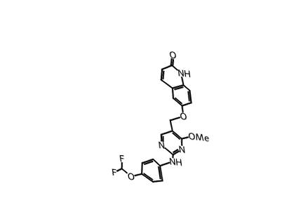 COc1nc(Nc2ccc(OC(F)F)cc2)ncc1COc1ccc2[nH]c(=O)ccc2c1